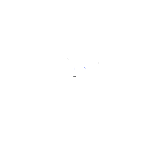 N#CC(NC(=O)[C@@H]1CCCC[C@H]1NC(=O)O)c1cccc(Br)c1